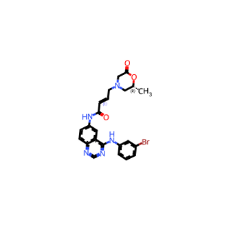 C[C@@H]1CN(C/C=C/C(=O)Nc2ccc3ncnc(Nc4cccc(Br)c4)c3c2)CC(=O)O1